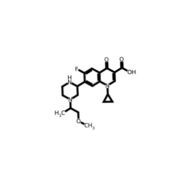 COCC(C)N1CCNC(c2cc3c(cc2F)c(=O)c(C(=O)O)cn3C2CC2)C1